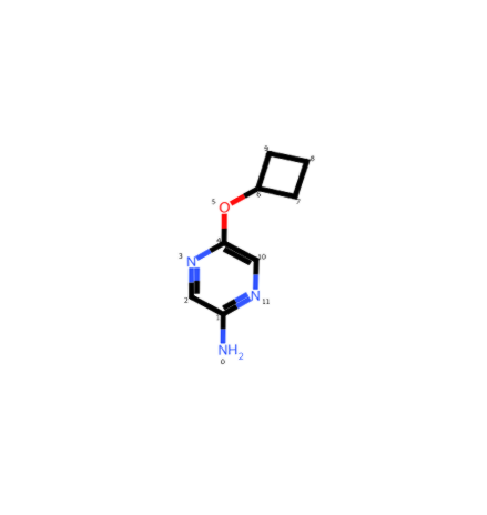 Nc1cnc(OC2CCC2)cn1